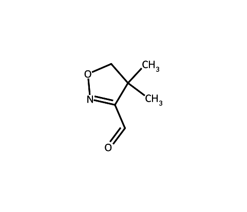 CC1(C)CON=C1C=O